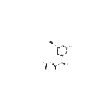 C#Cc1cc(O)cc(C(=N)C(=NC(=O)OC)SC)c1